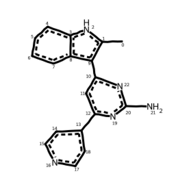 Cc1[nH]c2ccccc2c1-c1cc(-c2ccncc2)nc(N)n1